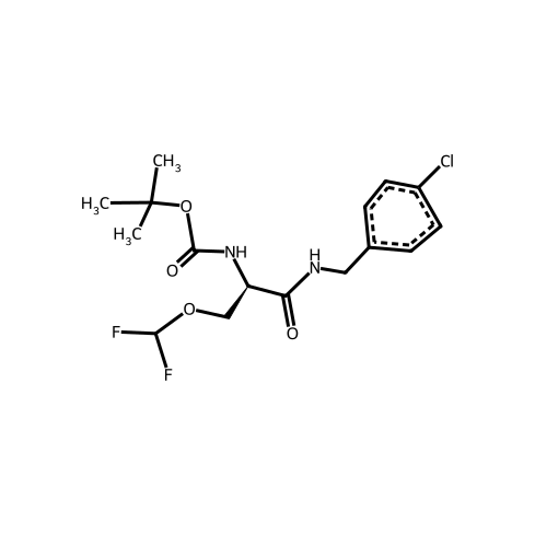 CC(C)(C)OC(=O)N[C@H](COC(F)F)C(=O)NCc1ccc(Cl)cc1